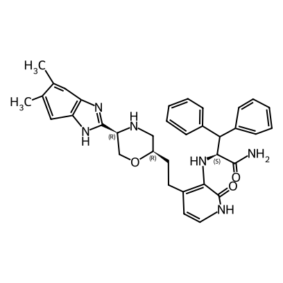 Cc1cc2nc([C@@H]3CO[C@H](CCc4cc[nH]c(=O)c4N[C@H](C(N)=O)C(c4ccccc4)c4ccccc4)CN3)[nH]c2cc1C